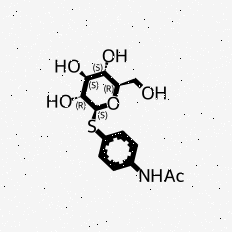 CC(=O)Nc1ccc(S[C@@H]2O[C@H](CO)[C@@H](O)[C@H](O)[C@H]2O)cc1